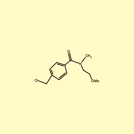 COCCN(C)C(=O)c1ccc(CCl)cc1